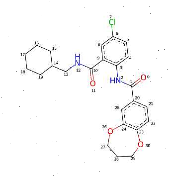 O=C(Nc1ccc(Cl)cc1C(=O)NCC1CCCCC1)c1ccc2c(c1)OCCCO2